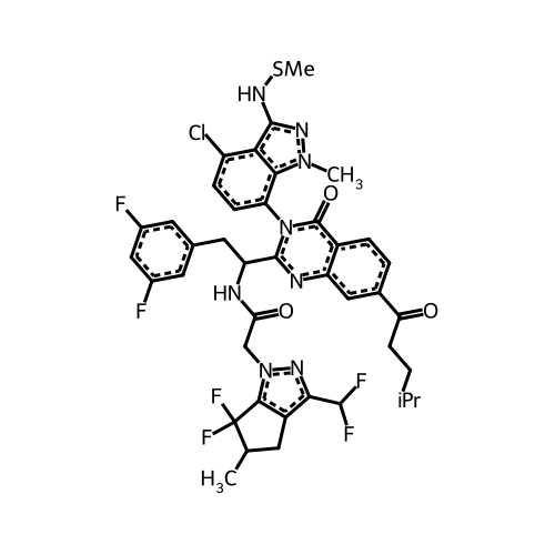 CSNc1nn(C)c2c(-n3c(C(Cc4cc(F)cc(F)c4)NC(=O)Cn4nc(C(F)F)c5c4C(F)(F)C(C)C5)nc4cc(C(=O)CCC(C)C)ccc4c3=O)ccc(Cl)c12